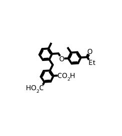 CCC(=O)c1ccc(OCc2c(C)cccc2Cc2ccc(C(=O)O)cc2C(=O)O)c(C)c1